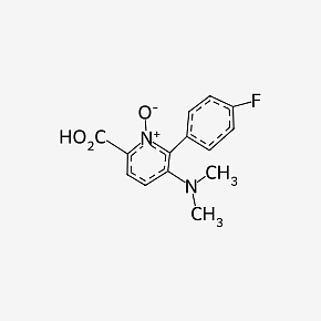 CN(C)c1ccc(C(=O)O)[n+]([O-])c1-c1ccc(F)cc1